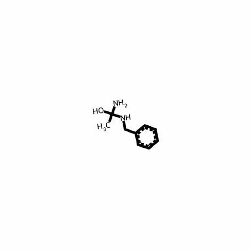 CC(N)(O)NCc1ccccc1